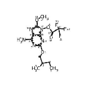 CCC(C)COc1nc(N)c2nc(OC)n(OC(=O)C(F)(F)F)c2n1